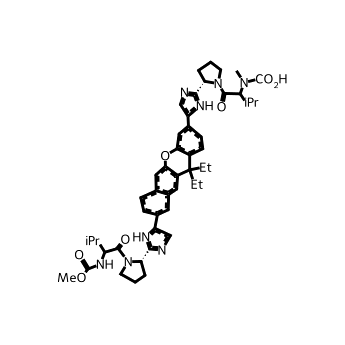 CCC1(CC)c2ccc(-c3cnc([C@@H]4CCCN4C(=O)C(C(C)C)N(C)C(=O)O)[nH]3)cc2Oc2cc3ccc(-c4cnc([C@@H]5CCCN5C(=O)C(NC(=O)OC)C(C)C)[nH]4)cc3cc21